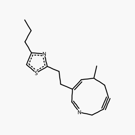 CCCc1csc(CCC2=C/C(C)CC#CC/N=C\2)n1